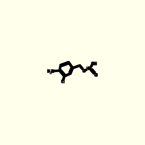 Nc1ccc(CO[PH](=O)O)cc1Cl